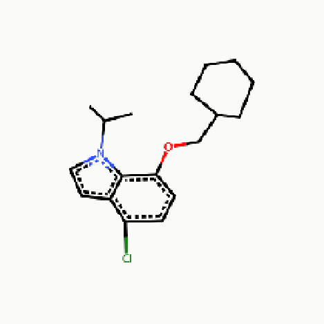 CC(C)n1ccc2c(Cl)ccc(OCC3CCCCC3)c21